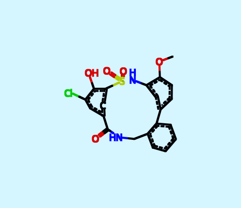 COc1ccc2cc1NS(=O)(=O)c1cc(cc(Cl)c1O)C(=O)NCc1ccccc1-2